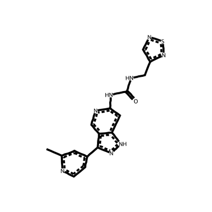 Cc1cc(-c2n[nH]c3cc(NC(=O)NCc4cnsn4)ncc23)ccn1